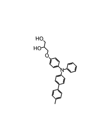 Cc1ccc(-c2ccc(N(c3ccccc3)c3ccc(OCC(O)CO)cc3)cc2)cc1